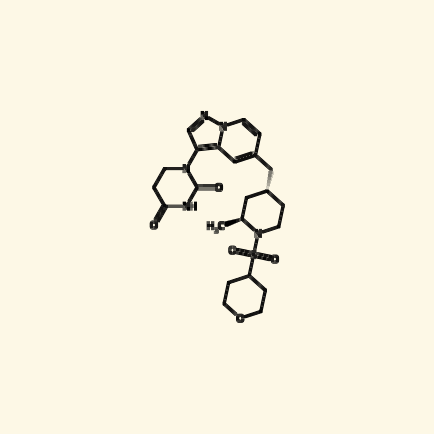 C[C@H]1C[C@H](Cc2ccn3ncc(N4CCC(=O)NC4=O)c3c2)CCN1S(=O)(=O)C1CCOCC1